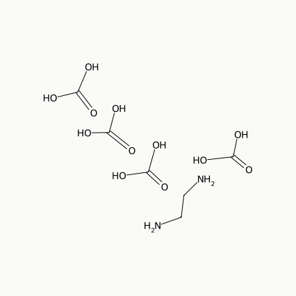 NCCN.O=C(O)O.O=C(O)O.O=C(O)O.O=C(O)O